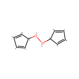 C1=CC(OOC2C=CC=C2)C=C1